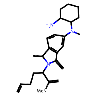 C=CCCC(C(=C)NC)N1C(=C)c2cc(N(C)C3CCCCC3N)ccc2C1C